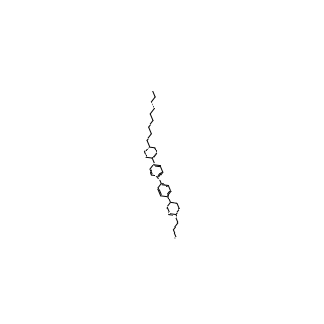 CCCCCCCCCC1CC=C(c2ccc(-c3ccc(C4CCC(CCC)CC4)cc3)cc2)CC1